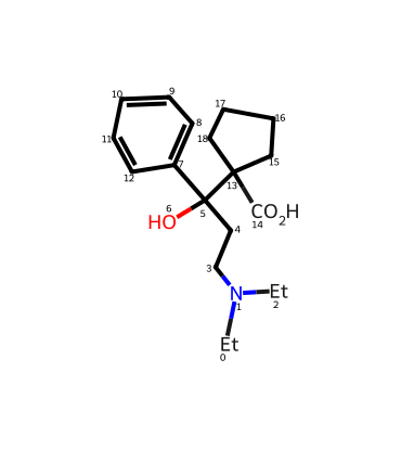 CCN(CC)CCC(O)(c1ccccc1)C1(C(=O)O)CCCC1